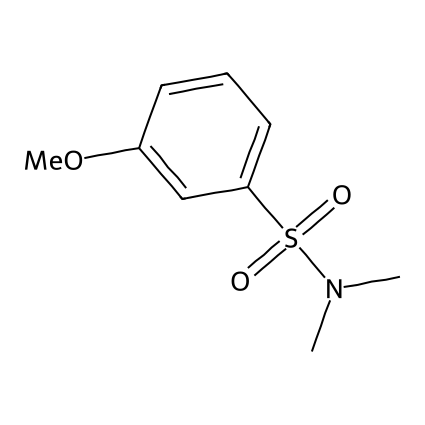 COc1cccc(S(=O)(=O)N(C)C)c1